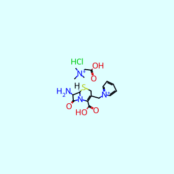 C[N+](C)(C)CC(=O)O.Cl.N[C@@H]1C(=O)N2C(C(=O)O)=C(C[n+]3ccccc3)CS[C@H]12